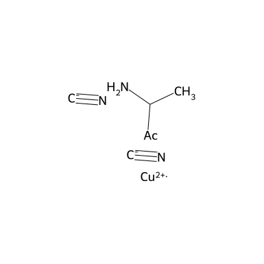 CC(=O)C(C)N.[C-]#N.[C-]#N.[Cu+2]